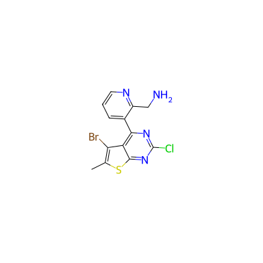 Cc1sc2nc(Cl)nc(-c3cccnc3CN)c2c1Br